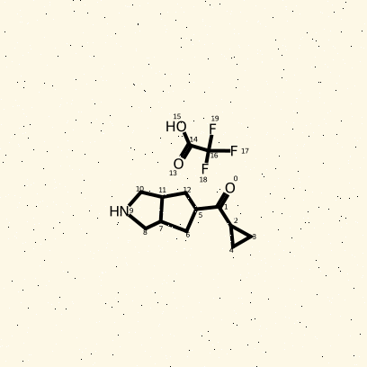 O=C(C1CC1)C1CC2CNCC2C1.O=C(O)C(F)(F)F